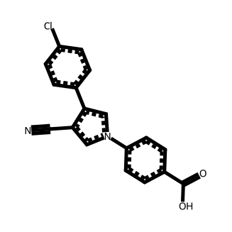 N#Cc1cn(-c2ccc(C(=O)O)cc2)cc1-c1ccc(Cl)cc1